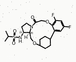 CC(C)S(=O)(=O)N[C@H]1CCN2C(=O)COc3c(F)cc(F)cc3C3CCC(CC3)OC[C@@H]12